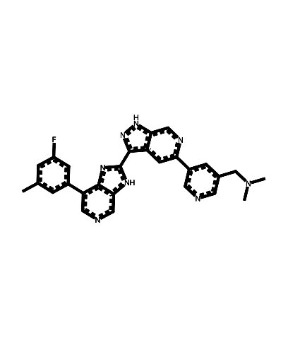 Cc1cc(F)cc(-c2cncc3[nH]c(-c4n[nH]c5cnc(-c6cncc(CN(C)C)c6)cc45)nc23)c1